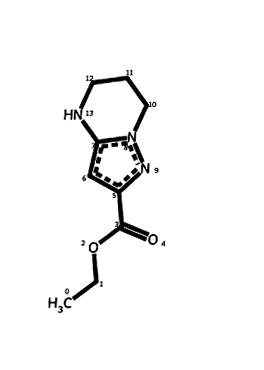 CCOC(=O)c1cc2n(n1)CCCN2